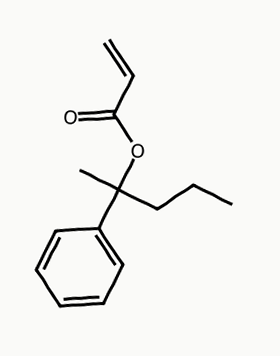 C=CC(=O)OC(C)(CCC)c1ccccc1